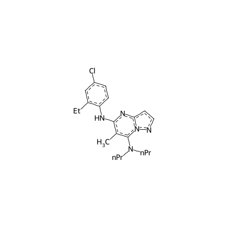 CCCN(CCC)c1c(C)c(Nc2ccc(Cl)cc2CC)nc2ccnn12